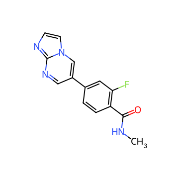 CNC(=O)c1ccc(-c2cnc3nccn3c2)cc1F